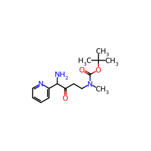 CN(CCC(=O)C(N)c1ccccn1)C(=O)OC(C)(C)C